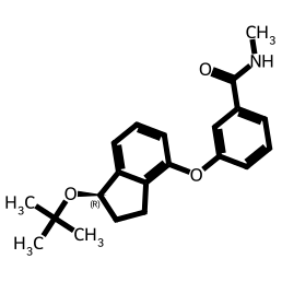 CNC(=O)c1cccc(Oc2cccc3c2CC[C@H]3OC(C)(C)C)c1